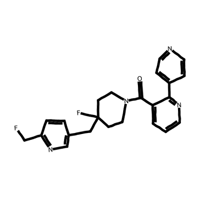 O=C(c1cccnc1-c1ccncc1)N1CCC(F)(Cc2ccc(CF)nc2)CC1